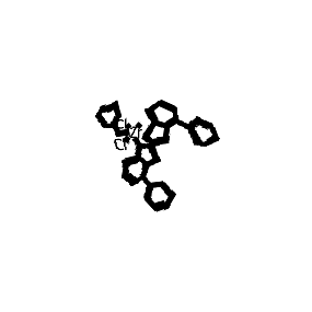 [CH3][Zr]([Cl])([Cl])(=[CH]c1ccccc1)([CH]1C=Cc2c(-c3ccccc3)cccc21)[CH]1C=Cc2c(-c3ccccc3)cccc21